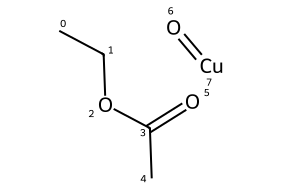 CCOC(C)=O.[O]=[Cu]